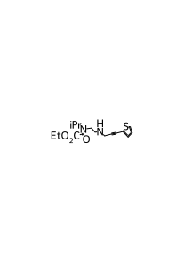 CCOC(=O)C(=O)N(CCNCC#Cc1cccs1)C(C)C